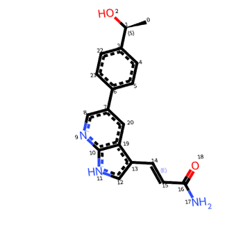 C[C@H](O)c1ccc(-c2cnc3[nH]cc(/C=C/C(N)=O)c3c2)cc1